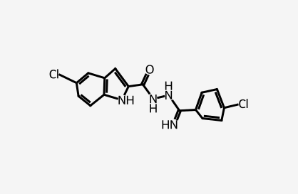 N=C(NNC(=O)c1cc2cc(Cl)ccc2[nH]1)c1ccc(Cl)cc1